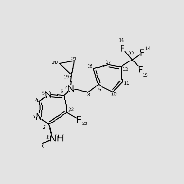 CNc1ncnc(N(Cc2ccc(C(F)(F)F)cc2)C2CC2)c1F